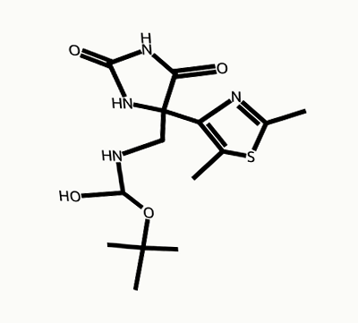 Cc1nc(C2(CNC(O)OC(C)(C)C)NC(=O)NC2=O)c(C)s1